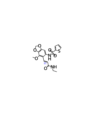 CCNC(=O)/C=C/c1c(NS(=O)(=O)c2cccs2)cc2c(c1OC)OCO2